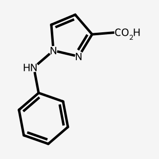 O=C(O)c1ccn(Nc2ccccc2)n1